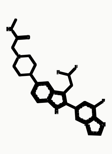 CNC(=O)CN1CCC(c2ccc3[nH]c(-c4cc(F)c5nccn5c4)c(CC(F)F)c3c2)CC1